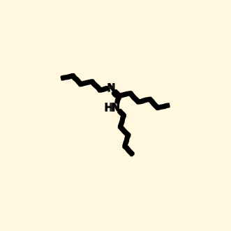 CCCCCN=C(CCCCC)NCCCCC